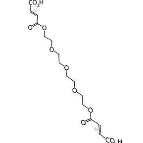 O=C(O)/C=C/C(=O)OCCOCCOCCOCCOC(=O)/C=C/C(=O)O